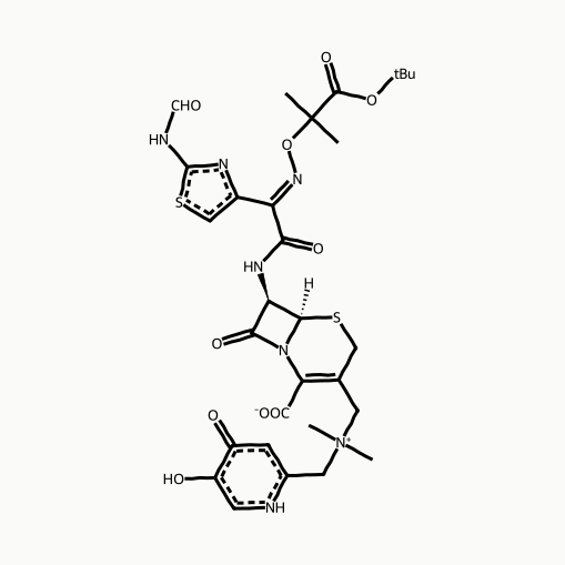 CC(C)(C)OC(=O)C(C)(C)O/N=C(/C(=O)N[C@@H]1C(=O)N2C(C(=O)[O-])=C(C[N+](C)(C)Cc3cc(=O)c(O)c[nH]3)CS[C@H]12)c1csc(NC=O)n1